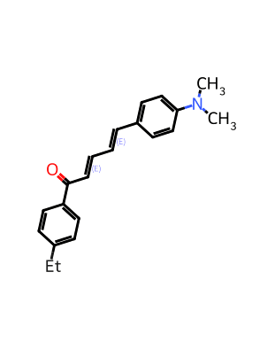 CCc1ccc(C(=O)/C=C/C=C/c2ccc(N(C)C)cc2)cc1